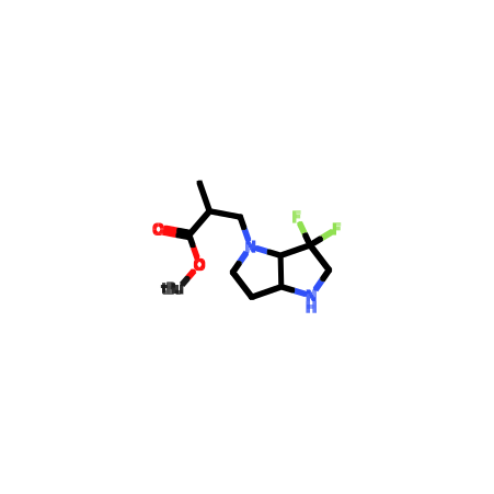 CC(CN1CCC2NCC(F)(F)C21)C(=O)OC(C)(C)C